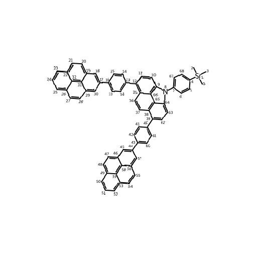 C[Si](C)(C)c1ccc(-n2c3ccc(-c4ccc(-c5cc6ccc7cccc8ccc(c5)c6c78)cc4)c4ccc5c(-c6ccc(-c7cc8ccc9cccc%10ccc(c7)c8c9%10)cc6)ccc2c5c43)cc1